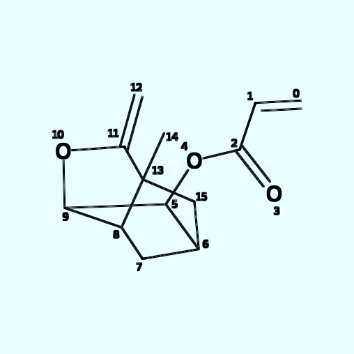 C=CC(=O)OC1C2CC3C1OC(=C)C3(C)C2